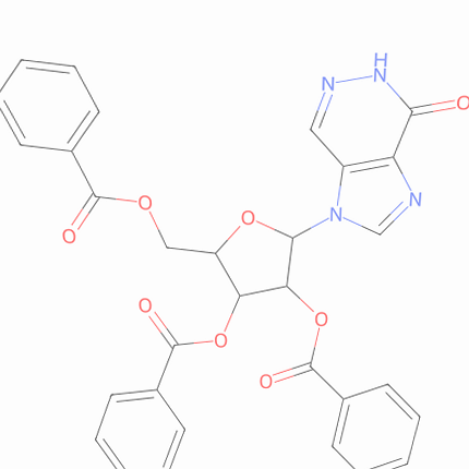 O=C(OCC1OC(n2cnc3c(=O)[nH]ncc32)C(OC(=O)c2ccccc2)C1OC(=O)c1ccccc1)c1ccccc1